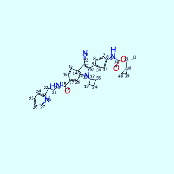 C[C@@H](OC(=O)Nc1ccc(-c2c(C#N)c3ccc(C(=O)NCCc4ccccn4)cc3n2C2CCC2)cc1)C1CC1